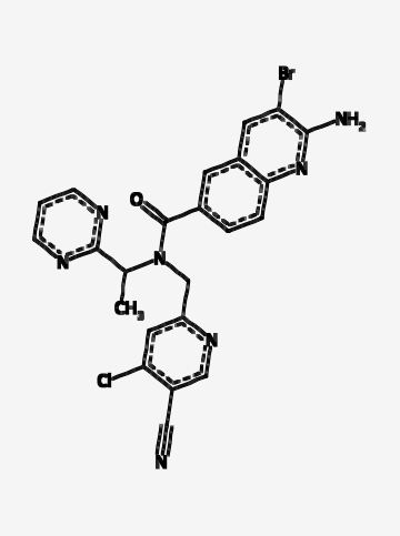 CC(c1ncccn1)N(Cc1cc(Cl)c(C#N)cn1)C(=O)c1ccc2nc(N)c(Br)cc2c1